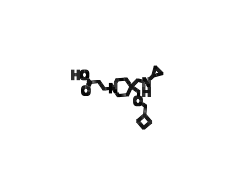 O=C(O)CCN1CCC(CNC2CC2)(COCC2CCC2)CC1